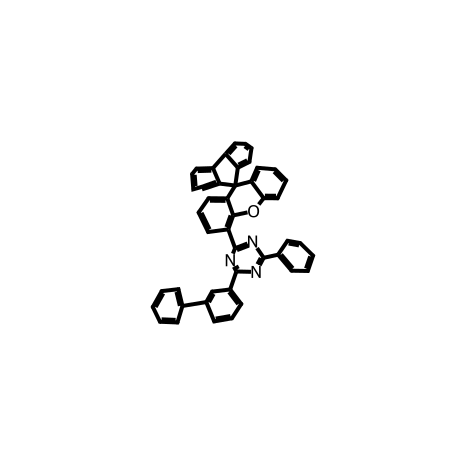 c1ccc(-c2cccc(-c3nc(-c4ccccc4)nc(-c4cccc5c4Oc4ccccc4C54c5ccccc5-c5ccccc54)n3)c2)cc1